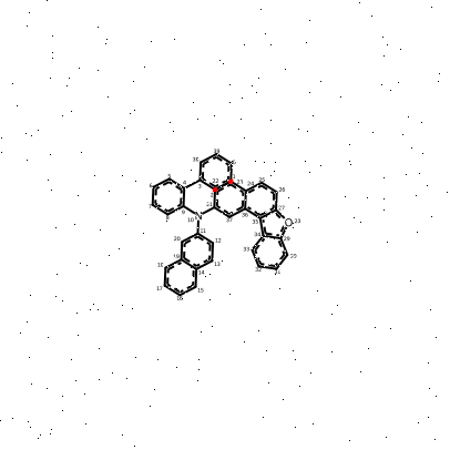 c1ccc(-c2ccccc2N(c2ccc3ccccc3c2)c2ccc3ccc4oc5ccccc5c4c3c2)cc1